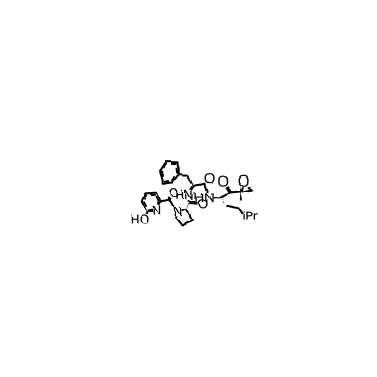 CC(C)CC[C@H](NC(=O)[C@H](Cc1ccccc1)NC(=O)[C@@H]1CCCN1C(=O)c1cccc(O)n1)C(=O)[C@@]1(C)CO1